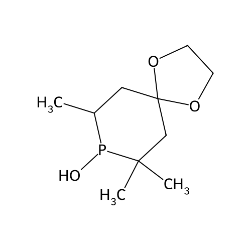 CC1CC2(CC(C)(C)P1O)OCCO2